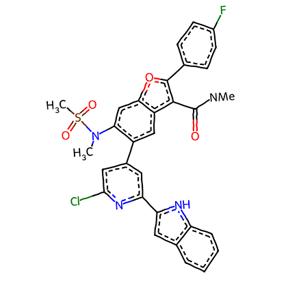 CNC(=O)c1c(-c2ccc(F)cc2)oc2cc(N(C)S(C)(=O)=O)c(-c3cc(Cl)nc(-c4cc5ccccc5[nH]4)c3)cc12